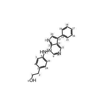 OCCc1ccc(Nn2cncc3c(-c4ccccc4)cnc2-3)cc1